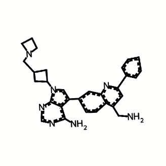 NCc1cc(-c2ccccc2)nc2cc(-c3cn(C4CC(CN5CCC5)C4)c4ncnc(N)c34)ccc12